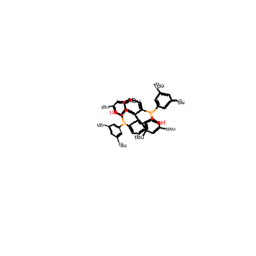 CC(C)(C)c1cc(P(c2cc(C(C)(C)C)cc(C(C)(C)C)c2)c2cccc(CO)c2-c2c(CO)cccc2P(c2cc(C(C)(C)C)cc(C(C)(C)C)c2)c2cc(C(C)(C)C)cc(C(C)(C)C)c2)cc(C(C)(C)C)c1